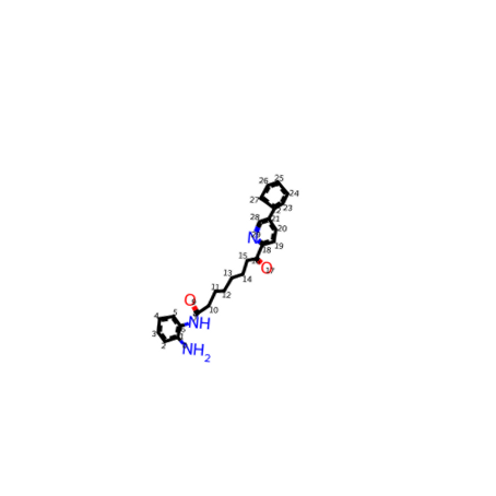 Nc1ccccc1NC(=O)CCCCCCC(=O)c1ccc(-c2ccccc2)cn1